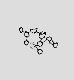 CC1(C)c2ccccc2-c2cc(-c3cccc4c3oc3ccccc34)c(-c3cccc(-c4cccc(-c5cc(-c6ccccc6)nc(-c6ccccc6)n5)c4)c3)cc21